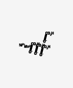 O=C([O-])O.O=C([O-])O.O=C([O-])O.O=C([O-])O.[Mn+2].[Ni+2]